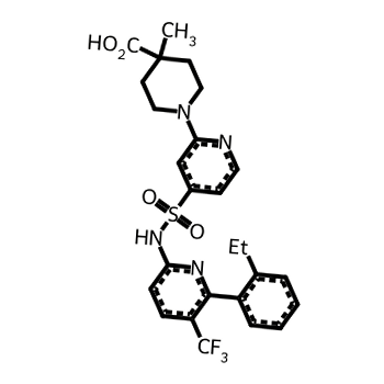 CCc1ccccc1-c1nc(NS(=O)(=O)c2ccnc(N3CCC(C)(C(=O)O)CC3)c2)ccc1C(F)(F)F